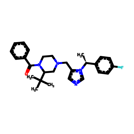 C[C@H](c1ccc(F)cc1)n1cncc1CN1CCN(C(=O)c2ccccc2)C(C(C)(C)C)C1